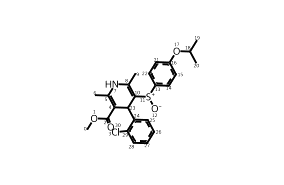 COC(=O)C1=C(C)NC(C)=C([S+]([O-])c2ccc(OC(C)C)cc2)C1c1ccccc1Cl